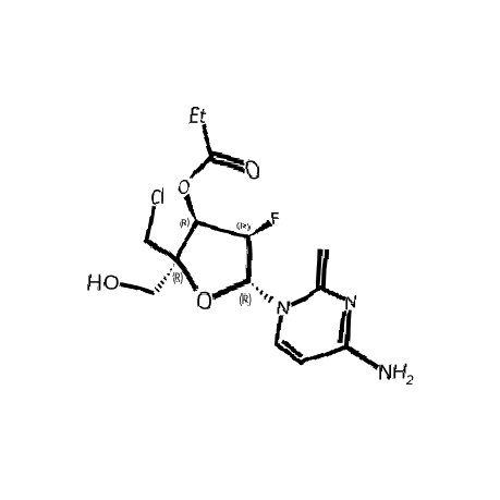 C=C1N=C(N)C=CN1[C@@H]1O[C@@](CO)(CCl)[C@@H](OC(=O)CC)[C@H]1F